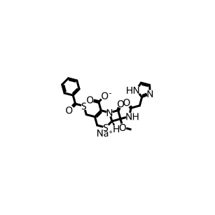 COC1(NC(=O)Cc2ncc[nH]2)C(=O)N2C(C(=O)[O-])=C(CSC(=O)c3ccccc3)CS[C@H]21.[Na+]